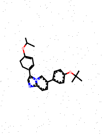 CC(C)OC1=CC=C(c2cnc3ccc(-c4ccc(OC(C)(C)C)cc4)cn23)CC1